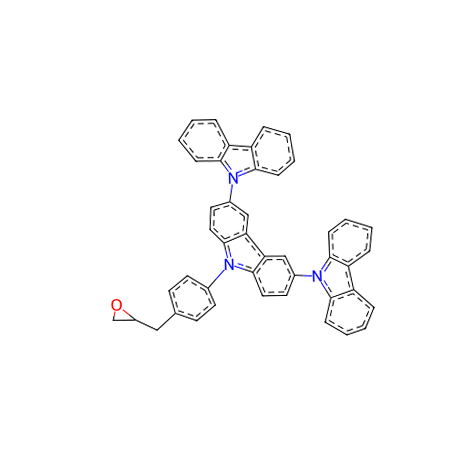 c1ccc2c(c1)c1ccccc1n2-c1ccc2c(c1)c1cc(-n3c4ccccc4c4ccccc43)ccc1n2-c1ccc(CC2CO2)cc1